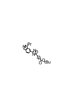 CC(C)n1ncc2ccc(-c3noc(C4CN(C(=O)OC(C)(C)C)C4)n3)cc21